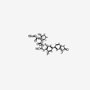 CN1C(=O)Cc2ccc(-c3cc(F)c(CC(C#N)NC(=O)[C@@H]4C5CC[C@H](C5)N4C(=O)OC(C)(C)C)c(F)c3)cc21